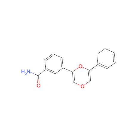 NC(=O)c1cccc(C2=COC=C(C3=CC=CCC3)O2)c1